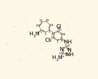 NC1=CC(c2c(Cl)cc(Nc3n[nH]c(N)n3)cc2Cl)=CCC=C1